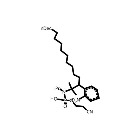 CCCCCCCCCCCCCCCCCCCC(c1ccccc1[N+](=O)[O-])C(C)(C)N(C(C)C)P(=O)(O)OCCC#N